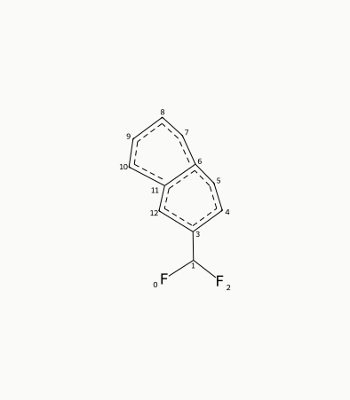 FC(F)c1ccc2ccccc2c1